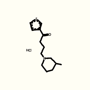 CC1CCCN(CCCC(=O)c2ccsc2)C1.Cl